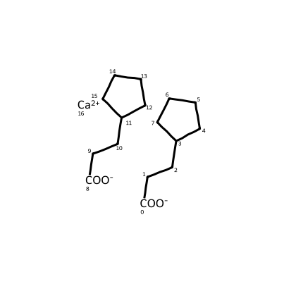 O=C([O-])CCC1CCCC1.O=C([O-])CCC1CCCC1.[Ca+2]